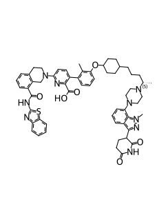 Cc1c(OC2CCC(CCC[C@H](C)N3CCN(c4cccc5c(C6CCC(=O)NC6=O)nn(C)c45)CC3)CC2)cccc1-c1ccc(N2CCc3cccc(C(=O)Nc4nc5ccccc5s4)c3C2)nc1C(=O)O